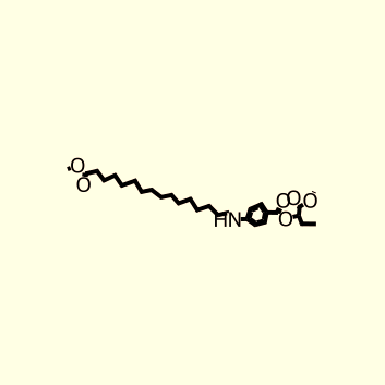 CCC(OC(=O)c1ccc(NCCCCCCCCCCCCCCCC(=O)OC)cc1)C(=O)OC